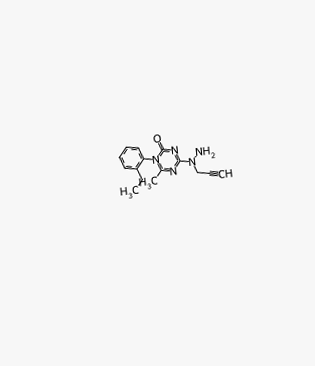 C#CCN(N)c1nc(C)n(-c2ccccc2CC)c(=O)n1